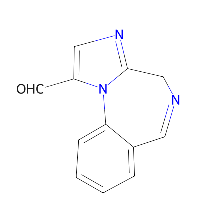 O=Cc1cnc2n1-c1ccccc1C=NC2